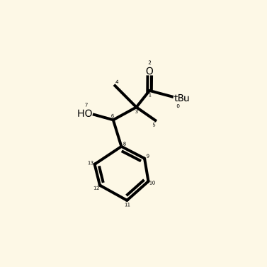 CC(C)(C)C(=O)C(C)(C)C(O)c1ccccc1